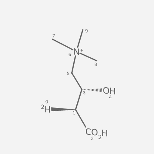 [2H][C@H](C(=O)O)[C@@H](O)C[N+](C)(C)C